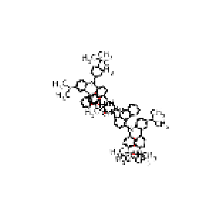 CC(C)c1ccc(N(c2ccc(C(C)(C)C)cc2)c2ccc3c4cc5c(cc4n4c6ccccc6c2c34)c2ccc(N(c3ccc(C(C)(C)C)cc3)c3ccc(C(C)C)cc3-c3ccc(C(C)(C)C)cc3)c3c4ccccc4n5c23)c(-c2ccc(C(C)(C)C)cc2)c1